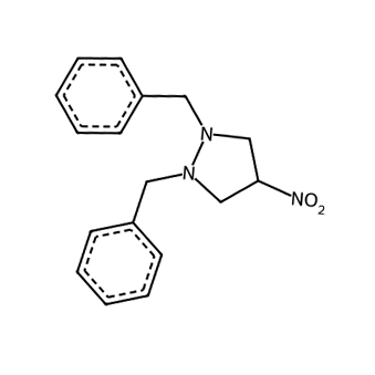 O=[N+]([O-])C1CN(Cc2ccccc2)N(Cc2ccccc2)C1